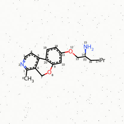 Cc1nccc2c1COc1cc(OC[C@@H](N)CC(C)C)ccc1-2